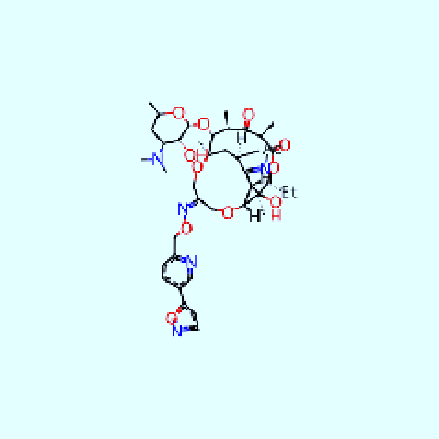 CC[C@H]1OC(=O)[C@H](C)C(=O)[C@H](C)[C@@H](O[C@@H]2O[C@H](C)C[C@H](N(C)C)[C@H]2O)[C@@]2(C)C[C@@H](C)/C(=N\C(C)=O)[C@H](C)[C@@H](OC/C(=N\OCc3ccc(-c4ccno4)cn3)CO2)[C@]1(C)O